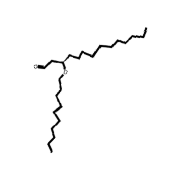 CCCCCCCCCCC[C@H](CC=O)OCCCCCCCCCC